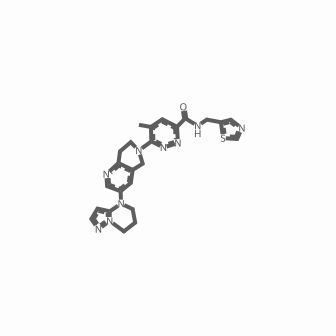 Cc1cc(C(=O)NCc2cncs2)nnc1N1CCc2ncc(N3CCCn4nccc43)cc2C1